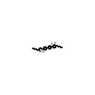 CCCCCc1ccc(-c2ccc(-c3ccc(C4CCC(CCCCC)CO4)c(F)c3)cc2)c(F)c1F